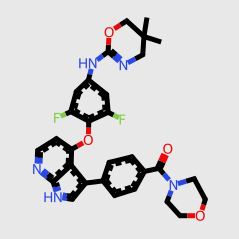 CC1(C)CN=C(Nc2cc(F)c(Oc3ccnc4[nH]cc(-c5ccc(C(=O)N6CCOCC6)cc5)c34)c(F)c2)OC1